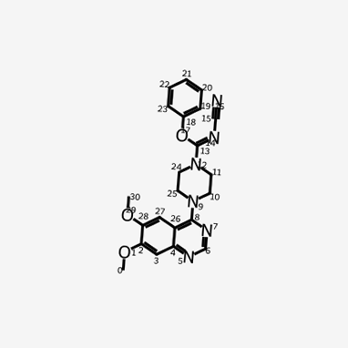 COc1cc2ncnc(N3CCN(/C(=N/C#N)Oc4ccccc4)CC3)c2cc1OC